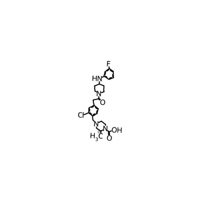 C[C@H]1CN(Cc2ccc(CC(=O)N3CCC(Nc4cccc(F)c4)CC3)cc2Cl)CCN1C(=O)O